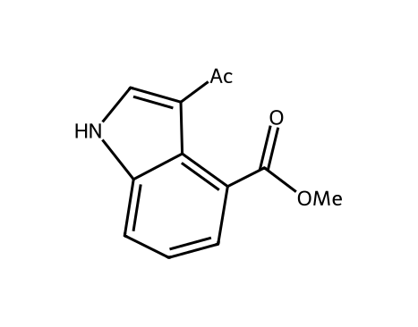 COC(=O)c1cccc2[nH]cc(C(C)=O)c12